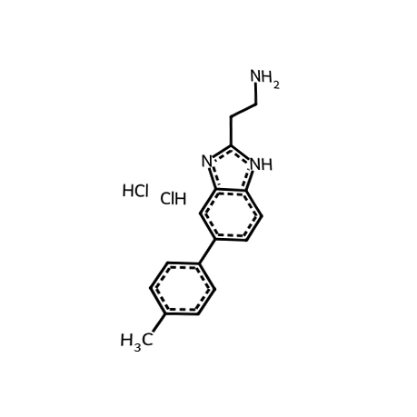 Cc1ccc(-c2ccc3[nH]c(CCN)nc3c2)cc1.Cl.Cl